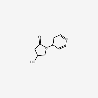 O=C1CC(O)CN1N1C=CN=CC1